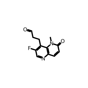 Cn1c(=O)ccc2ncc(F)c(CCC=O)c21